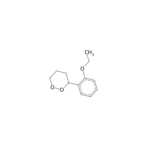 CCOc1ccccc1[C]1CCCOO1